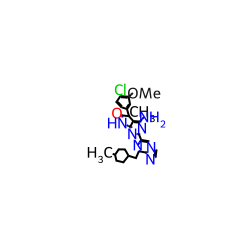 COc1cc(C2(C)C(=O)Nc3nc(-c4cn5ccnc5c(CC5CCC(C)CC5)n4)nc(N)c32)ccc1Cl